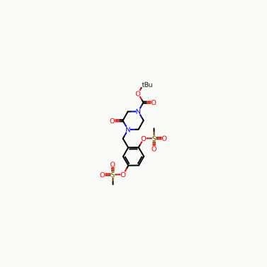 CC(C)(C)OC(=O)N1CCN(Cc2cc(OS(C)(=O)=O)ccc2OS(C)(=O)=O)C(=O)C1